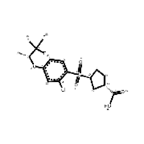 C[C@@H](Oc1ccc(S(=O)(=O)[C@H]2CC[C@H](C(=O)O)C2)c(Cl)c1)C(F)(F)F